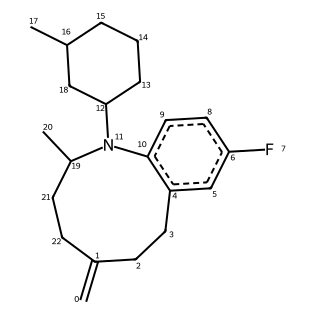 C=C1CCc2cc(F)ccc2N(C2CCCC(C)C2)C(C)CC1